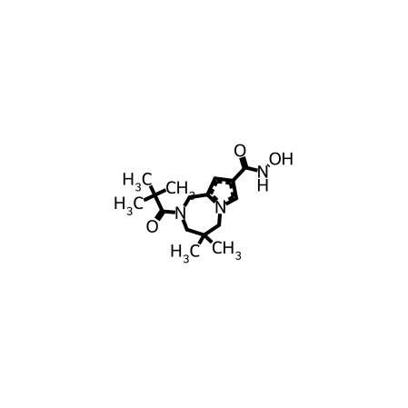 CC1(C)CN(C(=O)C(C)(C)C)Cc2cc(C(=O)NO)cn2C1